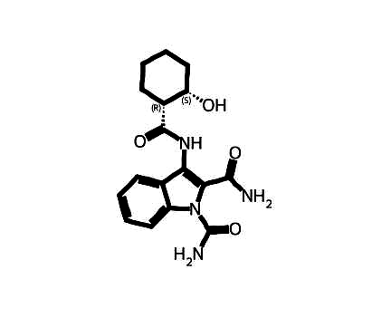 NC(=O)c1c(NC(=O)[C@@H]2CCCC[C@@H]2O)c2ccccc2n1C(N)=O